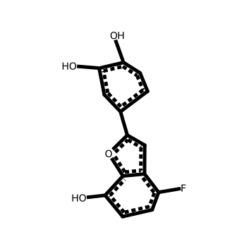 Oc1ccc(-c2cc3c(F)ccc(O)c3o2)cc1O